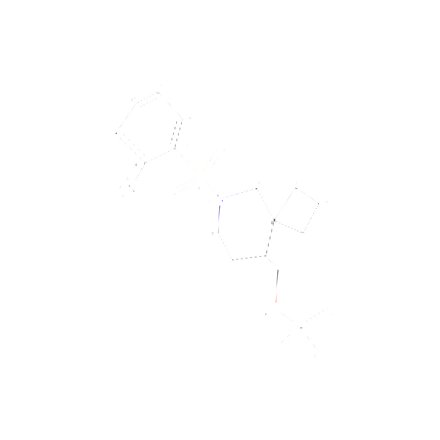 CC(C)(C)[Si](C)(C)OCC1CCN(S(=O)(=O)c2ccccc2[N+](=O)[O-])CC12CCC2